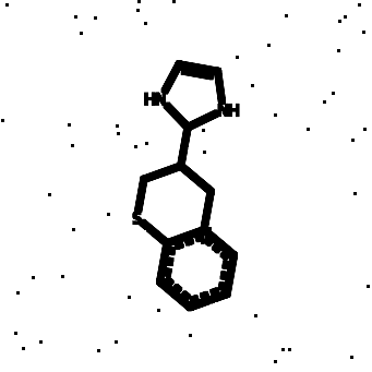 C1=CNC(C2CSc3ccccc3C2)N1